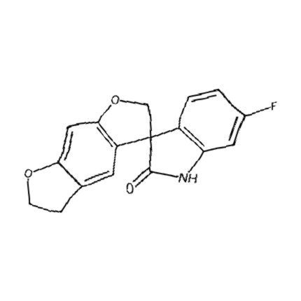 O=C1Nc2cc(F)ccc2C12COc1cc3c(cc12)CCO3